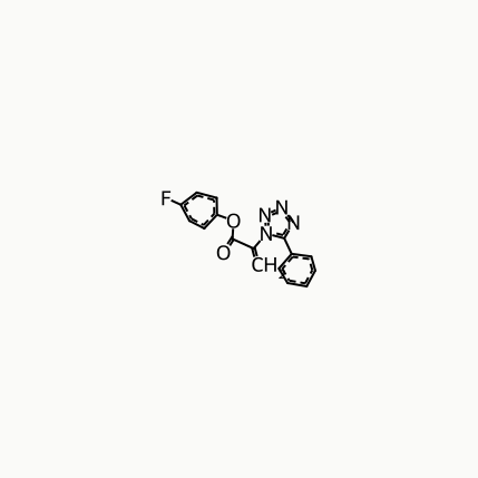 C=C(C(=O)Oc1ccc(F)cc1)n1nnnc1-c1ccccc1